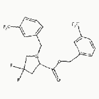 O=C(OCc1cccc(C(F)(F)F)c1)C1CC(F)(F)CN1Cc1cccc(C(F)(F)F)c1